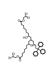 CCC(CC)COC(=O)CCCCCCC(O)CN(CCCSC(c1ccccc1)(c1ccccc1)c1ccccc1)CC(O)CCCCCCC(=O)OCC(CC)CC